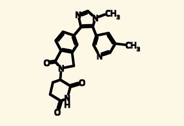 Cc1cncc(-c2c(-c3ccc4c(c3)CN(C3CCC(=O)NC3=O)C4=O)ncn2C)c1